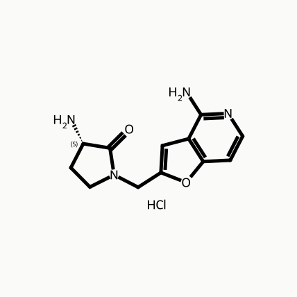 Cl.Nc1nccc2oc(CN3CC[C@H](N)C3=O)cc12